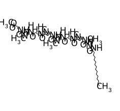 CCCCCCCCCCCCCCCC(=O)Nc1cn(C)c(C(=O)Nc2cc(C(=O)NCCC(=O)Nc3cn(C)c(C(=O)Nc4cc(C(=O)NCCC(=O)Nc5cn(C)c(C(=O)NCCC(=O)OC)n5)n(C)c4)n3)n(C)c2)n1